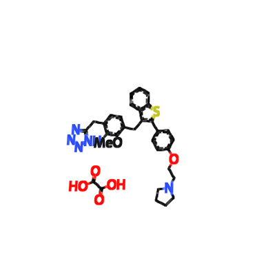 COc1cc(Cc2c(-c3ccc(OCCN4CCCC4)cc3)sc3ccccc23)ccc1Cc1nnn[nH]1.O=C(O)C(=O)O